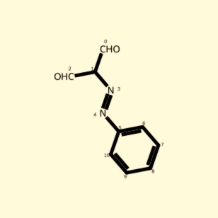 O=CC(C=O)N=Nc1ccccc1